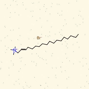 CCCCCCCCCCCCCCCC=CC[N+](C)(C)C.[Br-]